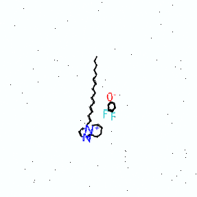 CCCCCCCCCCCCCCCC[N+]12CCCCCC1=NCCC2.[O-]c1ccc(F)c(F)c1